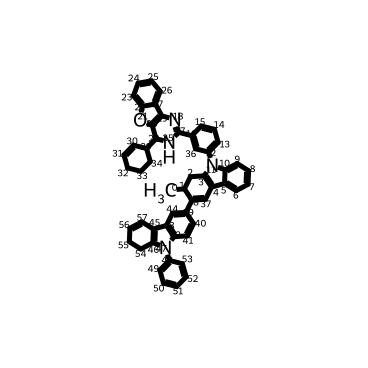 CC1Cc2c(c3ccccc3n2-c2cccc(C3=Nc4c(oc5ccccc45)C(C4C=CCCC4)N3)c2)C=C1c1ccc2c(c1)c1c(n2-c2ccccc2)CCC=C1